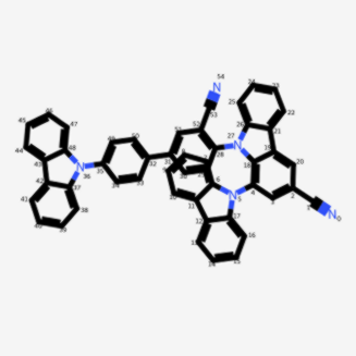 N#Cc1cc(-n2c3ccccc3c3ccccc32)c2c(c1)c1ccccc1n2-c1ccc(-c2ccc(-n3c4ccccc4c4ccccc43)cc2)cc1C#N